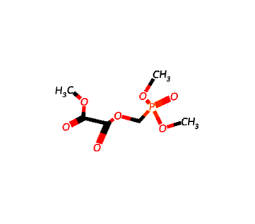 COC(=O)C(=O)OCP(=O)(OC)OC